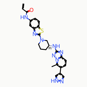 C=CC(=O)Nc1ccc2sc(N3CCC[C@@H](Nc4nc5ccc(-c6cn[nH]c6)c(C)n5n4)C3)nc2c1